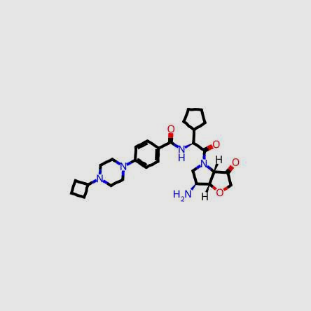 N[C@H]1CN(C(=O)[C@@H](NC(=O)c2ccc(N3CCN(C4CCC4)CC3)cc2)C2CCCC2)[C@@H]2C(=O)CO[C@@H]21